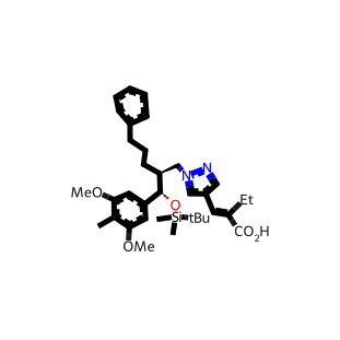 CCC(=Cc1cnn(C[C@H](CCCc2ccccc2)[C@H](O[Si](C)(C)C(C)(C)C)c2cc(OC)c(C)c(OC)c2)c1)C(=O)O